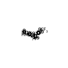 CC1(C)C(=O)N(c2ccc(S(=O)(=O)C(F)(F)F)cc2)C(=O)N1Cc1ccnc(N[C@H]2CCOC2)c1